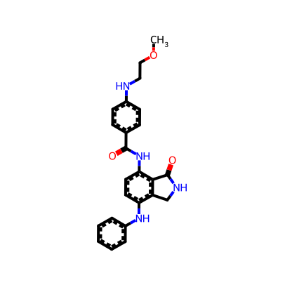 COCCNc1ccc(C(=O)Nc2ccc(Nc3ccccc3)c3c2C(=O)NC3)cc1